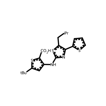 CC(C)Cc1sc(Nc2cc(C(C)(C)C)sc2C(=O)O)nc1-c1cccs1